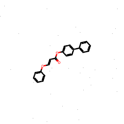 O=C(/C=C/Oc1ccccc1)Oc1ccc(-c2ccccc2)cc1